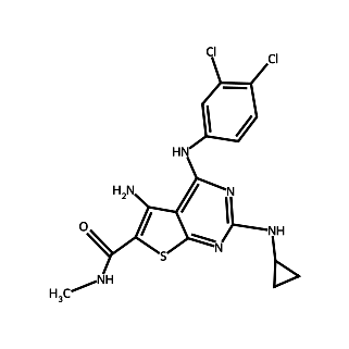 CNC(=O)c1sc2nc(NC3CC3)nc(Nc3ccc(Cl)c(Cl)c3)c2c1N